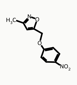 Cc1cc(COc2ccc([N+](=O)[O-])cc2)on1